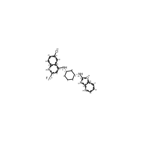 FC(F)(F)c1cc(N[C@H]2CCC[C@@H](Nc3nc4ncccc4o3)C2)c2cc(Cl)ccc2n1